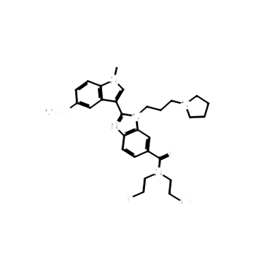 COc1ccc2c(c1)c(-c1nc3ccc(C(=O)N(CCC(C)C)CCC(C)C)cc3n1CCCN1CCCC1)cn2C